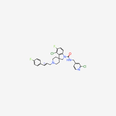 O=C(NCc1ccnc(Cl)c1)N1CC2(CCN(C/C=C/c3ccc(F)cc3)CC2)c2c1ccc(F)c2Cl